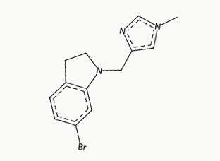 Cn1cnc(CN2CCc3ccc(Br)cc32)c1